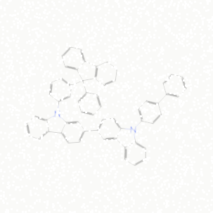 C1=CC2=C(CC1)c1ccccc1C2(c1ccccc1)c1cccc(-n2c3ccccc3c3ccc(-c4ccc5c(c4)c4ccccc4n5-c4ccc(-c5ccccc5)cc4)cc32)c1